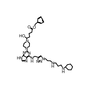 O=C(CCCC(O)N1CCN(c2nc(NCc3cn(CCCNCCCNC4CCCCC4)nn3)c3nc[nH]c3n2)CC1)OCc1ccccc1